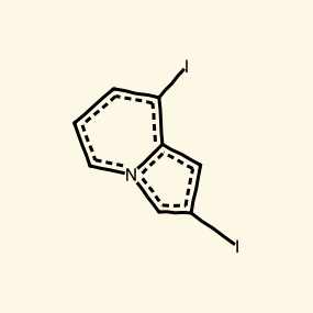 Ic1cc2c(I)cccn2c1